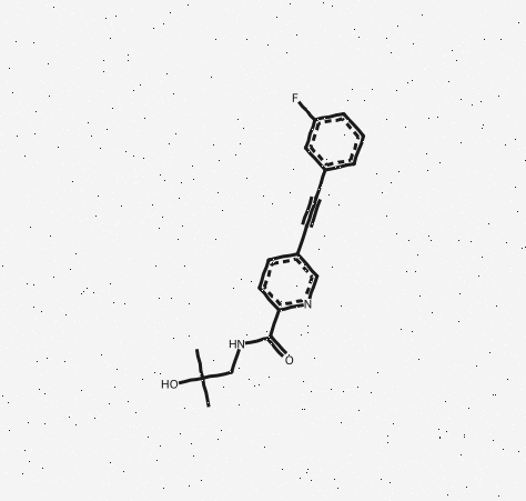 CC(C)(O)CNC(=O)c1ccc(C#Cc2cccc(F)c2)cn1